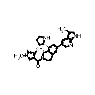 Cc1c[nH]c2ncc(-c3cc4c(c([C@@H]5CCCN5)c3)CN(C(=O)c3cn(C)nc3C(F)(F)F)CC4)cc12